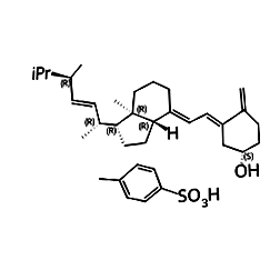 C=C1CC[C@H](O)CC1=CC=C1CCC[C@]2(C)[C@@H]([C@H](C)C=C[C@H](C)C(C)C)CC[C@@H]12.Cc1ccc(S(=O)(=O)O)cc1